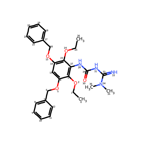 CCOc1c(OCc2ccccc2)cc(OCc2ccccc2)c(OCC)c1NC(=O)NC(=N)N(C)C